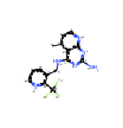 Cc1ccnc2nc(N)nc(NCc3cccnc3C(F)(F)F)c12